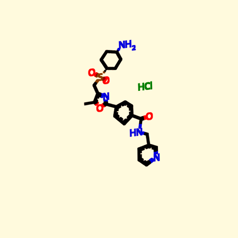 Cc1oc(-c2ccc(C(=O)NCc3cccnc3)cc2)nc1CS(=O)(=O)[C@H]1CC[C@H](N)CC1.Cl